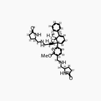 COc1nc(C2(C#CCNCC3CCC(=O)N3)C=CC=C(c3ccccc3)C2(C)C)ccc1CNCC1CCC(=O)N1